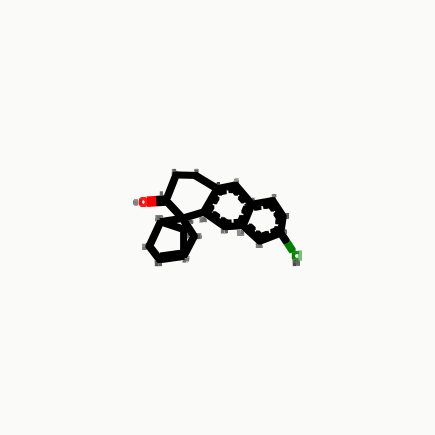 O=C1CCc2cc3ccc(Cl)cc3cc2C12CC1=CCC2C1